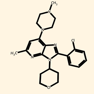 Cc1cc(N2CCN(C)CC2)c2nc(-c3ccccc3Cl)n(C3CCOCC3)c2n1